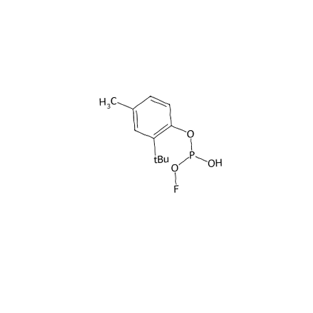 Cc1ccc(OP(O)OF)c(C(C)(C)C)c1